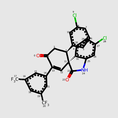 O=C1C[C@@H](c2cccc(Cl)c2)[C@]2(C=C1c1cc(C(F)(F)F)cc(C(F)(F)F)c1)C(=O)Nc1cc(Cl)ccc12